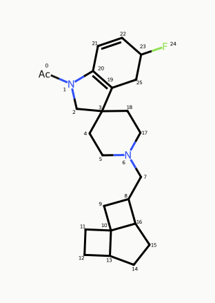 CC(=O)N1CC2(CCN(CC3CC45CCC4CCC35)CC2)C2=C1C=CC(F)C2